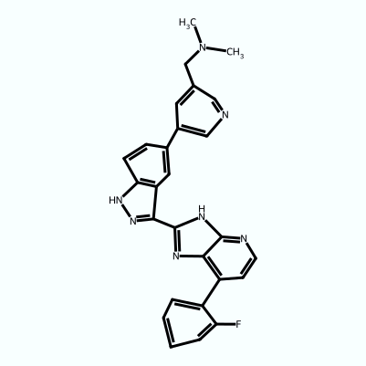 CN(C)Cc1cncc(-c2ccc3[nH]nc(-c4nc5c(-c6ccccc6F)ccnc5[nH]4)c3c2)c1